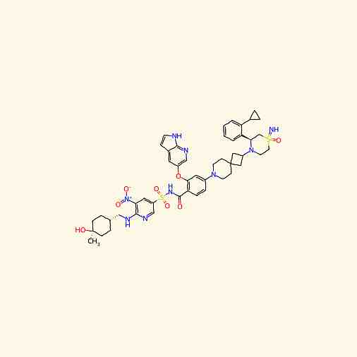 C[C@]1(O)CC[C@H](CNc2ncc(S(=O)(=O)NC(=O)c3ccc(N4CCC5(CC4)CC(N4CCS(=N)(=O)C[C@@H]4c4ccccc4C4CC4)C5)cc3Oc3cnc4[nH]ccc4c3)cc2[N+](=O)[O-])CC1